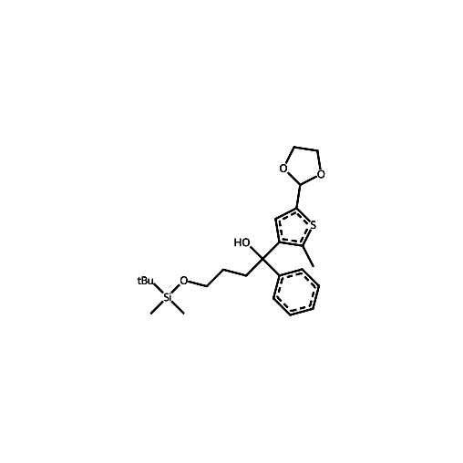 Cc1sc(C2OCCO2)cc1C(O)(CCCO[Si](C)(C)C(C)(C)C)c1ccccc1